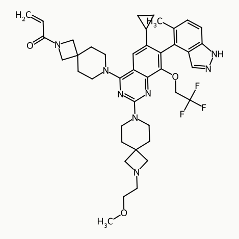 C=CC(=O)N1CC2(CCN(c3nc(N4CCC5(CC4)CN(CCOC)C5)nc4c(OCC(F)(F)F)c(-c5c(C)ccc6[nH]ncc56)c(C5CC5)cc34)CC2)C1